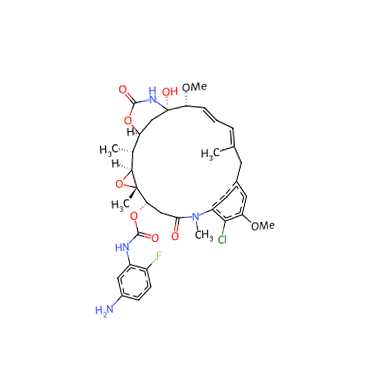 COc1cc2cc(c1Cl)N(C)C(=O)C[C@H](OC(=O)Nc1cc(N)ccc1F)[C@]1(C)O[C@H]1[C@H](C)[C@@H]1C[C@@](O)(NC(=O)O1)[C@H](OC)/C=C/C=C(\C)C2